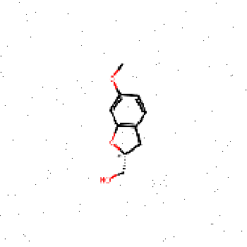 COc1ccc2c(c1)O[C@@H](CO)C2